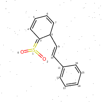 O=S(=O)=C1C=CC=CC1C=Cc1ccccc1